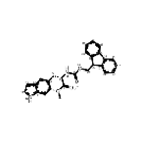 COC(=O)[C@H](Cc1ccc2[nH]ccc2c1)NC(=O)OCC1c2ccccc2-c2ccccc21